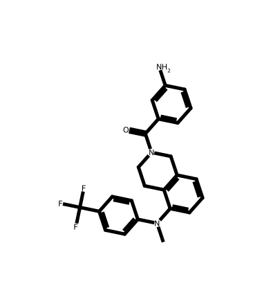 CN(c1ccc(C(F)(F)F)cc1)c1cccc2c1CCN(C(=O)c1cccc(N)c1)C2